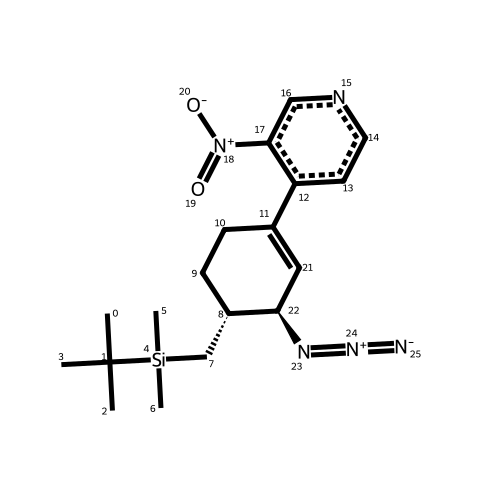 CC(C)(C)[Si](C)(C)C[C@@H]1CCC(c2ccncc2[N+](=O)[O-])=C[C@H]1N=[N+]=[N-]